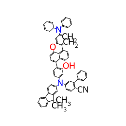 C=C1/C(=C\C(=C)N(c2ccccc2)C2C=CC=CC2)Oc2ccc(-c3ccc(N(c4ccc(C#N)c(-c5ccccc5)c4)c4ccc5c(c4)C(C)(C)c4ccccc4-5)cc3O)c3cccc1c23